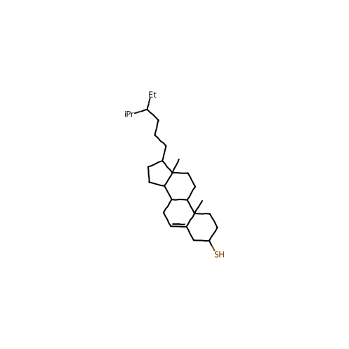 CCC(CCCC1CCC2C3CC=C4CC(S)CCC4(C)C3CCC12C)C(C)C